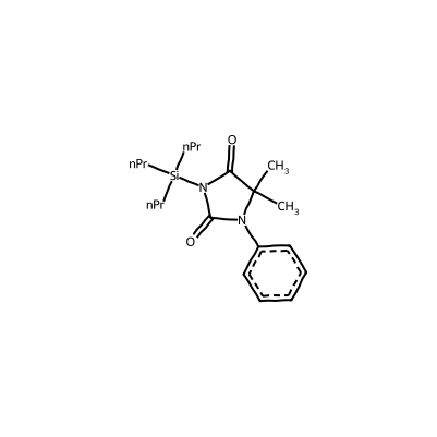 CCC[Si](CCC)(CCC)N1C(=O)N(c2ccccc2)C(C)(C)C1=O